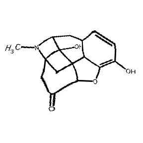 CN1C2CC3C=CC(O)=C4OC5C(=O)CC16CC5(C43)C26O